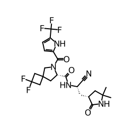 CC1(C)C[C@@H](C[C@@H](C#N)NC(=O)[C@@H]2CC3(CN2C(=O)c2ccc(C(F)(F)F)[nH]2)CC(F)(F)C3)C(=O)N1